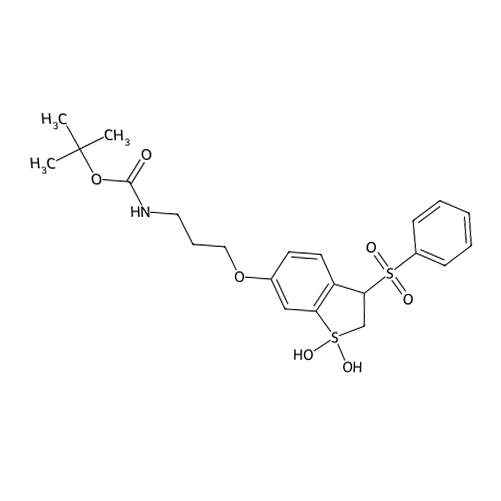 CC(C)(C)OC(=O)NCCCOc1ccc2c(c1)S(O)(O)CC2S(=O)(=O)c1ccccc1